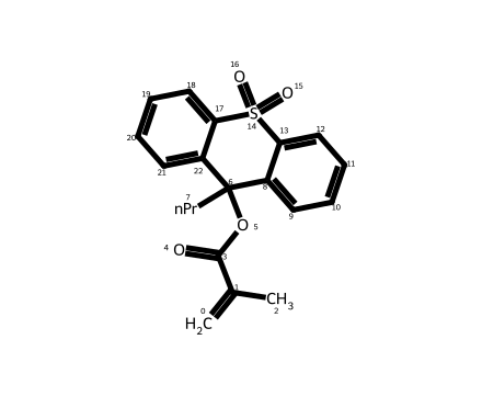 C=C(C)C(=O)OC1(CCC)c2ccccc2S(=O)(=O)c2ccccc21